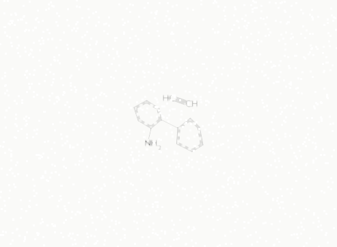 C#C.Nc1ccccc1-c1ccccc1